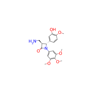 COc1ccc([C@H]2[C@H](CN)C(=O)N2c2cc(OC)c(OC)c(OC)c2)cc1O